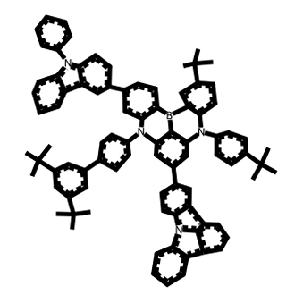 CC(C)(C)c1ccc(N2c3ccc(C(C)(C)C)cc3B3c4ccc(-c5ccc6c(c5)c5ccccc5n6-c5ccccc5)cc4N(c4ccc(-c5cc(C(C)(C)C)cc(C(C)(C)C)c5)cc4)c4cc(-c5ccc6c(c5)c5cccc7c8ccccc8n6c75)cc2c43)cc1